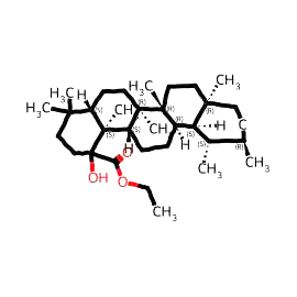 CCOC(=O)C1(O)CCC(C)(C)[C@@H]2CC[C@]3(C)[C@H](CC[C@@H]4[C@@H]5[C@@H](C)[C@H](C)CC[C@]5(C)CC[C@]43C)[C@]21C